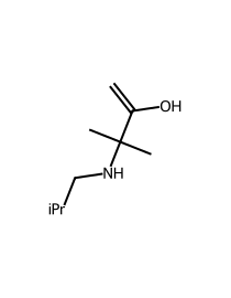 C=C(O)C(C)(C)NCC(C)C